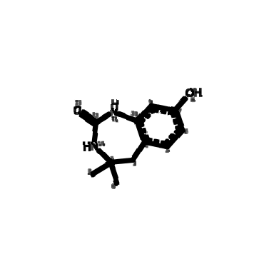 CC1(C)Cc2ccc(O)cc2NC(=O)N1